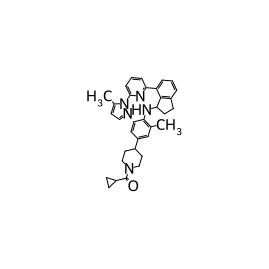 Cc1cc(C2CCN(C(=O)C3CC3)CC2)ccc1NC1CCc2cccc(-c3cccc(-n4nccc4C)n3)c21